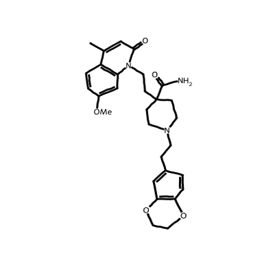 COc1ccc2c(C)cc(=O)n(CCC3(C(N)=O)CCN(CCc4ccc5c(c4)OCCO5)CC3)c2c1